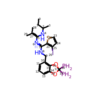 CCC(C)NC(/N=C(/NCc1cccc2c1OC(P)(P)O2)c1sccc1I)=C(C)C